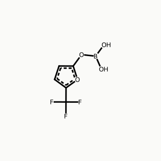 OB(O)Oc1ccc(C(F)(F)F)o1